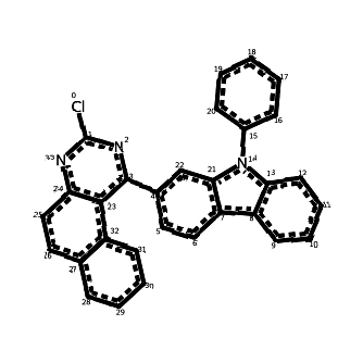 Clc1nc(-c2ccc3c4ccccc4n(-c4ccccc4)c3c2)c2c(ccc3ccccc32)n1